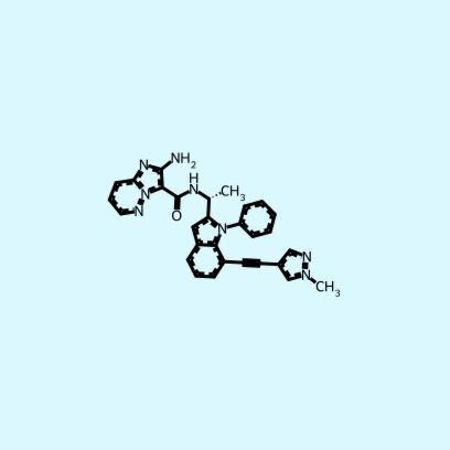 C[C@@H](NC(=O)c1c(N)nc2cccnn12)c1cc2cccc(C#Cc3cnn(C)c3)c2n1-c1ccccc1